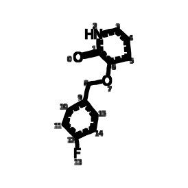 O=c1[nH]cccc1OCc1ccc(F)cc1